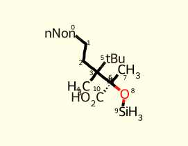 CCCCCCCCCCCC(C)(C(C)(C)C)[C@@](C)(O[SiH3])C(=O)O